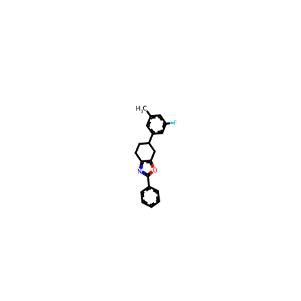 Cc1cc(F)cc(C2CCc3nc(-c4ccccc4)oc3C2)c1